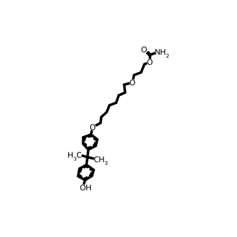 CC(C)(c1ccc(O)cc1)c1ccc(OCCCCCCCCOCCCOC(N)=O)cc1